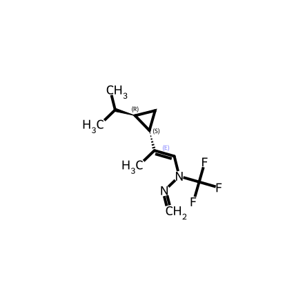 C=NN(/C=C(\C)[C@H]1C[C@@H]1C(C)C)C(F)(F)F